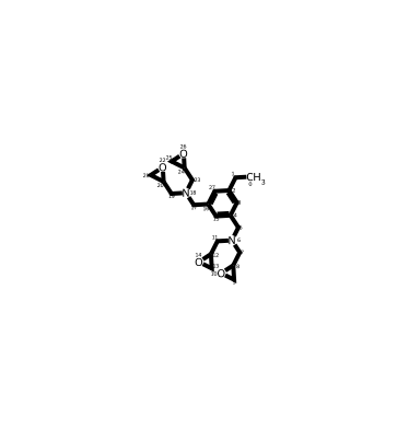 CCc1cc(CN(CC2CO2)CC2CO2)cc(CN(CC2CO2)CC2CO2)c1